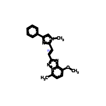 COc1ccc(C)n2nc(/C=C/c3nc(-c4ccccc4)cn3C)nc12